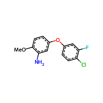 COc1ccc(Oc2ccc(Cl)c(F)c2)cc1N